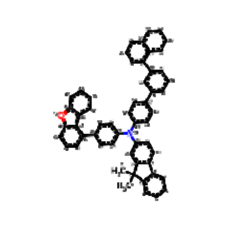 CC1(C)c2ccccc2-c2ccc(N(c3ccc(-c4cccc(-c5cccc6ccccc56)c4)cc3)c3ccc(-c4cccc5oc6ccccc6c45)cc3)cc21